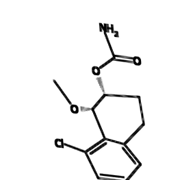 CO[C@H]1c2c(Cl)cccc2CC[C@H]1OC(N)=O